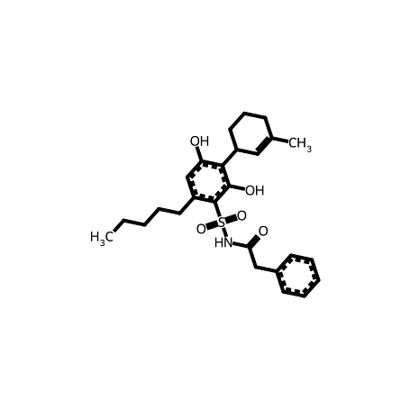 CCCCCc1cc(O)c(C2C=C(C)CCC2)c(O)c1S(=O)(=O)NC(=O)Cc1ccccc1